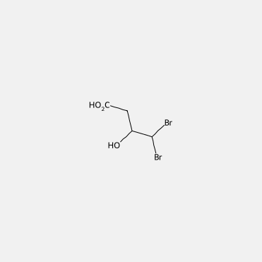 O=C(O)CC(O)C(Br)Br